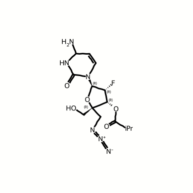 CC(C)C(=O)O[C@H]1[C@@H](F)[C@H](N2C=CC(N)NC2=O)O[C@@]1(CO)CN=[N+]=[N-]